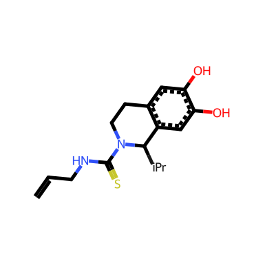 C=CCNC(=S)N1CCc2cc(O)c(O)cc2C1C(C)C